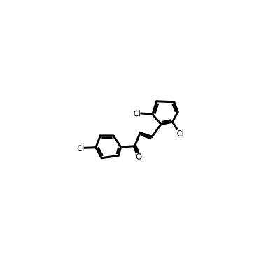 O=C(/C=C/c1c(Cl)cccc1Cl)c1ccc(Cl)cc1